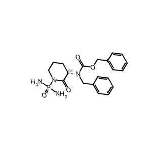 NP(N)(=O)N1CCC[C@H](N(Cc2ccccc2)C(=O)OCc2ccccc2)C1=O